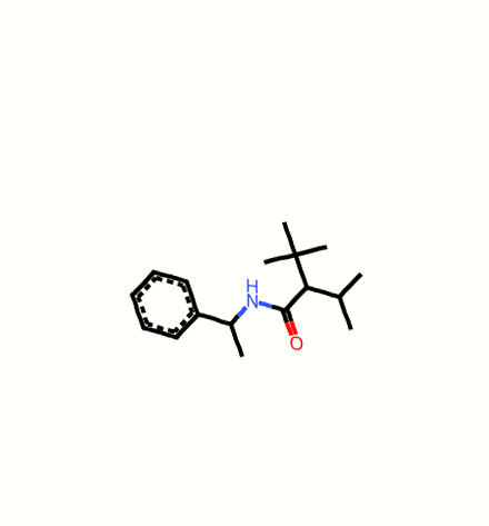 CC(NC(=O)C(C(C)C)C(C)(C)C)c1ccccc1